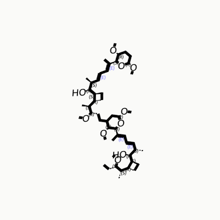 CC[C@H](OC)[C@@H](C)[C@H]1CC[C@@H]1[C@H](O)[C@@H](C)/C=C/C=C(\C)[C@@H]1O[C@@H](OC)CC(CC[C@H](OC)[C@@H](C)[C@H]2CC[C@@H]2[C@H](O)[C@@H](C)/C=C/C=C(\C)[C@@H]2O[C@@H](OC)CC[C@H]2OC)[C@@H]1OC